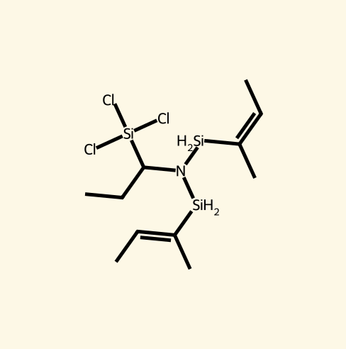 CC=C(C)[SiH2]N([SiH2]C(C)=CC)C(CC)[Si](Cl)(Cl)Cl